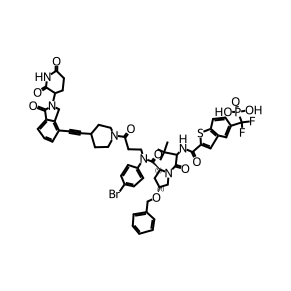 CC(C)(C)C(NC(=O)c1cc2cc(C(F)(F)P(=O)(O)O)ccc2s1)C(=O)N1C[C@H](OCc2ccccc2)C[C@H]1C(=O)N(CCC(=O)N1CCC(C#Cc2cccc3c2CN(C2CCC(=O)NC2=O)C3=O)CC1)c1ccc(Br)cc1